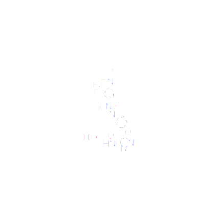 O=C(CCO)Nc1cc(Oc2ccc3c(c2)CCN3C(=O)Nc2ccc(N3CCOCC3)c(C(F)(F)F)c2)ncn1